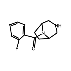 O=C(c1ccccc1F)N1C2CCC1CNC2